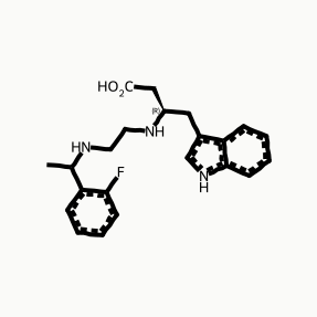 CC(NCCN[C@@H](CC(=O)O)Cc1c[nH]c2ccccc12)c1ccccc1F